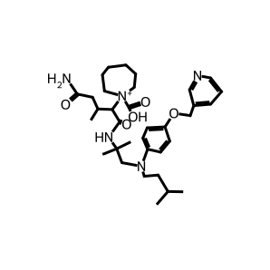 CC(C)CCN(CC(C)(C)NC(=O)C(C(C)CC(N)=O)[N+]1(C(=O)O)CCCCCC1)c1ccc(OCc2cccnc2)cc1